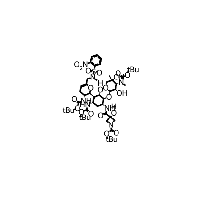 CN(C(=O)OC(C)(C)C)[C@@H]1[C@@H](O)[C@@H](O[C@@H]2[C@@H](O)[C@H](C3OC(CN(C)S(=O)(=O)c4ccccc4[N+](=O)[O-])=CC[C@H]3NC(=O)OC(C)(C)C)[C@@H](NC(=O)OC(C)(C)C)C[C@H]2NC(=O)C2(O)CN(C(=O)OC(C)(C)C)C2)OC[C@]1(C)O